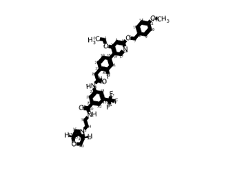 CCOc1cc(OCc2ccc(OC)cc2)ncc1-c1ccc(CC(=O)Nc2cc(C(=O)NCCN3C[C@@H]4C[C@H]3CO4)cc(C(F)(F)F)c2)c(F)c1